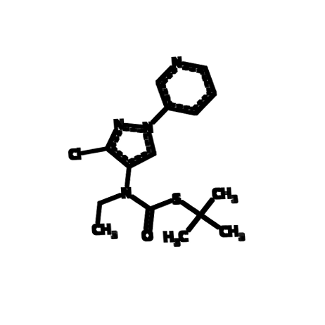 CCN(C(=O)SC(C)(C)C)c1cn(-c2cccnc2)nc1Cl